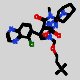 Cn1c(N2C3CCC2CC(NC(=O)O)C3)nc2c(c(-c3ccc4nccnc4c3Cl)cn2COCC[Si](C)(C)C)c1=O